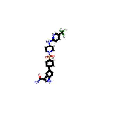 NC(=O)c1c[nH]c2ccc(-c3ccc(S(=O)(=O)N4CCC(Nc5ccc(C(F)(F)F)cn5)CC4)cc3)cc12